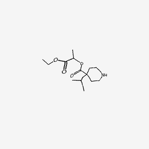 CCOC(=O)C(C)OC(=O)C1(C(C)C)CCNCC1